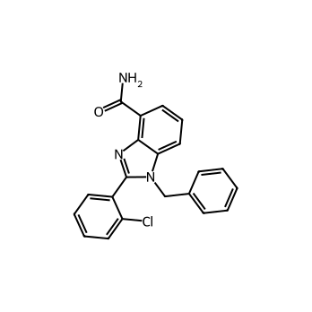 NC(=O)c1cccc2c1nc(-c1ccccc1Cl)n2Cc1ccccc1